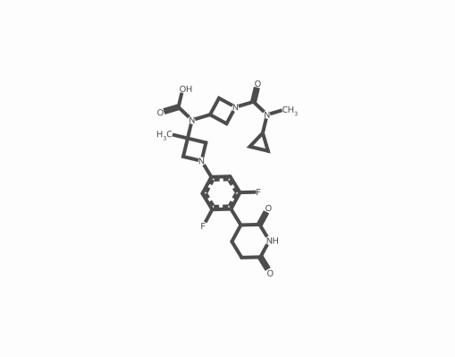 CN(C(=O)N1CC(N(C(=O)O)C2(C)CN(c3cc(F)c(C4CCC(=O)NC4=O)c(F)c3)C2)C1)C1CC1